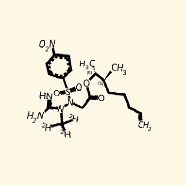 [2H]C([2H])([2H])N(C(=N)N)N(CC(=O)O[C@H](C)[C@@H](C)CCCC=C)S(=O)(=O)c1ccc([N+](=O)[O-])cc1